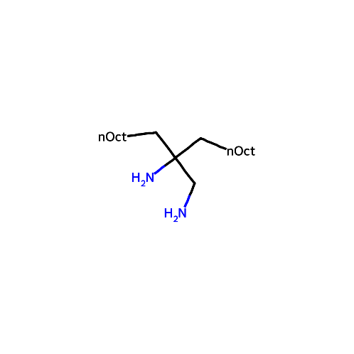 CCCCCCCCCC(N)(CN)CCCCCCCCC